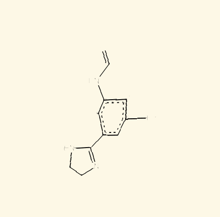 O=CNc1cc(F)cc(C2=NCCN2)c1